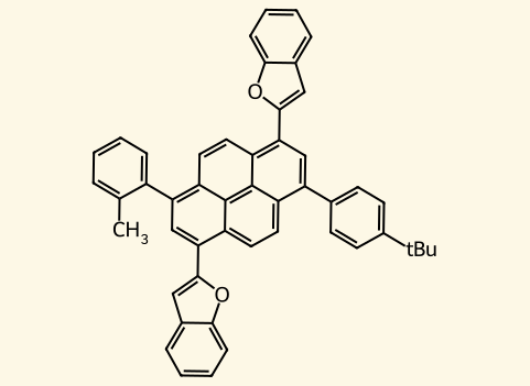 Cc1ccccc1-c1cc(-c2cc3ccccc3o2)c2ccc3c(-c4ccc(C(C)(C)C)cc4)cc(-c4cc5ccccc5o4)c4ccc1c2c34